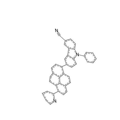 N#Cc1ccc2c(c1)c1cc(-c3ccc4ccc5c(-c6ccccn6)ccc6ccc3c4c65)ccc1n2-c1ccccc1